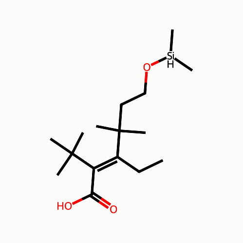 CC/C(=C(\C(=O)O)C(C)(C)C)C(C)(C)CCO[SiH](C)C